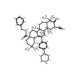 CC1(C)CC[C@]2(C(=O)OCc3ccccc3)CC[C@]3(C)C(=C(c4ccc(N5CCOCC5)cc4)CC4[C@@]5(C)CC(C#N)C(=O)C(C)(C)C5CC[C@]43C)C2C1